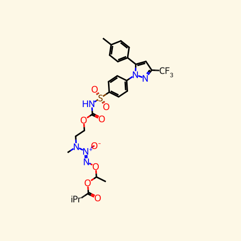 Cc1ccc(-c2cc(C(F)(F)F)nn2-c2ccc(S(=O)(=O)NC(=O)OCCN(C)/[N+]([O-])=N/OC(C)OC(=O)C(C)C)cc2)cc1